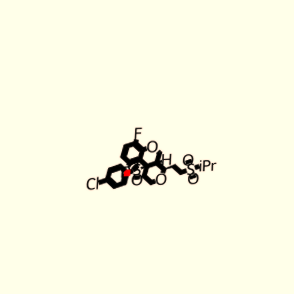 CC(C)S(=O)(=O)CC[C@H]1OCC[C@]2(S(=O)(=O)c3ccc(Cl)cc3)c3c(F)ccc(F)c3OC[C@H]12